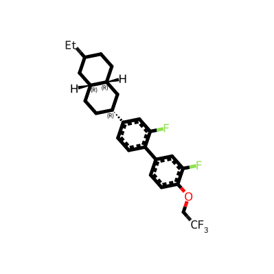 CCC1CC[C@@H]2C[C@H](c3ccc(-c4ccc(OCC(F)(F)F)c(F)c4)c(F)c3)CC[C@@H]2C1